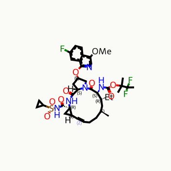 CC[C@@H]1C[C@@H](C)CC/C=C\[C@@H]2C[C@@]2(C(=O)NS(=O)(=O)C2CC2)NC(=O)[C@@H]2C[C@@H](Oc3ncc(OC)c4ccc(F)cc34)CN2C(=O)[C@H]1NC(=O)OC(C)(C)C(C)(F)F